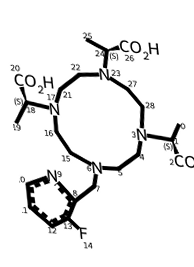 C[C@@H](C(=O)O)N1CCN(Cc2ncccc2F)CCN([C@@H](C)C(=O)O)CCN([C@@H](C)C(=O)O)CC1